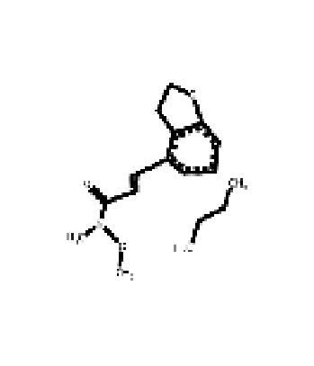 CCCC.CON(C)C(=O)/C=C/c1cccc2c1CCO2